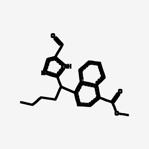 CCCCC(c1ncc(C=O)[nH]1)c1ccc(C(=O)OC)c2ccccc12